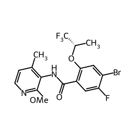 COc1nccc(C)c1NC(=O)c1cc(F)c(Br)cc1O[C@@H](C)C(F)(F)F